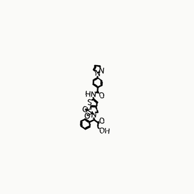 O=C(Nc1cc2c(s1)S(=O)(=O)N(C(C(=O)CO)c1ccccc1)C2)c1ccc(-n2cccn2)cc1